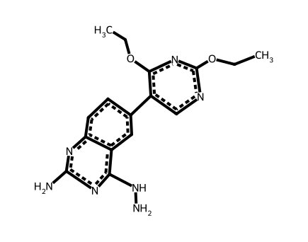 CCOc1ncc(-c2ccc3nc(N)nc(NN)c3c2)c(OCC)n1